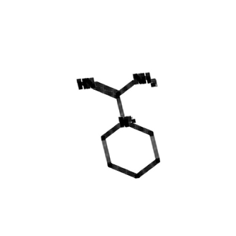 N=C(N)[N+]1CCCCC1